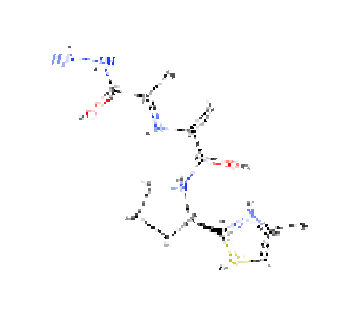 C=C(/N=C(\C)C(=O)NN)C(=O)N1CCC[C@@H]1c1nc(C)cs1